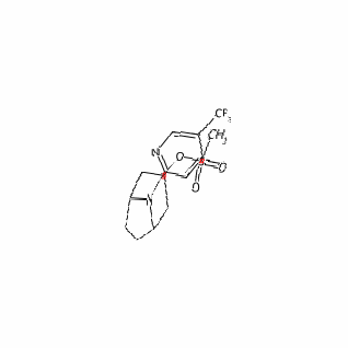 CS(=O)(=O)OC1CC2CCC(C1)N2c1ccc(C(F)(F)F)cn1